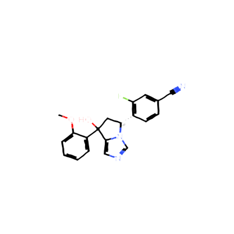 COc1ccccc1C1(O)C[C@H](c2ccc(C#N)cc2F)n2cncc21